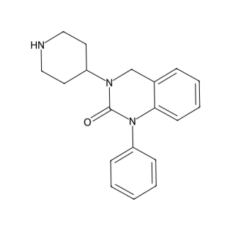 O=C1N(c2ccccc2)c2ccccc2CN1C1CCNCC1